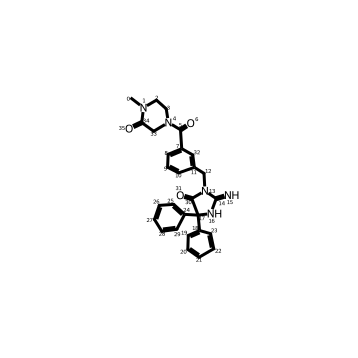 CN1CCN(C(=O)c2cccc(CN3C(=N)NC(c4ccccc4)(c4ccccc4)C3=O)c2)CC1=O